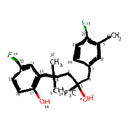 Cc1cc(CC(O)(CC(C)(C)c2cc(F)ccc2O)C(F)(F)F)ccc1F